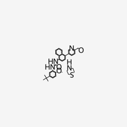 C1CSCCN1.COc1ccc(C(C)(C)C)cc1NC(=O)Nc1ccc(-c2ccc(C=O)nc2)c2ccccc12